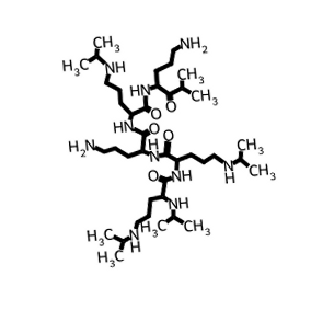 CC(C)NCCCC(NC(=O)C(CCCNC(C)C)NC(C)C)C(=O)NC(CCCN)C(=O)NC(CCCNC(C)C)C(=O)NC(CCCN)C(=O)C(C)C